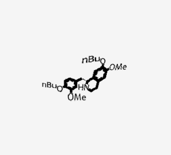 CCCCOc1ccc(C[C@H]2NCCc3cc(OC)c(OCCCC)cc32)cc1OC